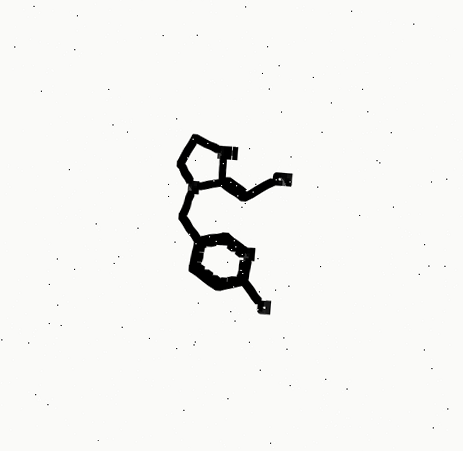 N#C/C=C1\NCCN1Cc1ccc(Cl)nc1